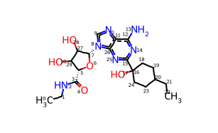 CCNC(=O)[C@H]1O[C@@H](n2cnc3c(N)nc(C4(O)CCC(CC)CC4)nc32)C(O)C1O